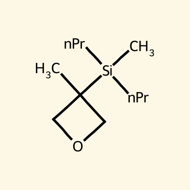 CCC[Si](C)(CCC)C1(C)COC1